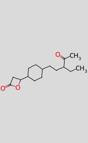 CCC(CCC1CCC(C2CC(=O)O2)CC1)C(C)=O